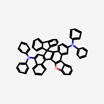 c1ccc(N(c2ccccc2)c2ccc3c4c(c5oc6ccccc6c5c3c2)-c2c(cc(N(c3ccccc3)c3ccccc3)c3ccccc23)C42c3ccccc3-c3ccccc32)cc1